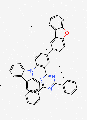 c1ccc(-c2nc(-c3ccccc3)nc(-c3cc(-c4ccc5oc6ccccc6c5c4)ccc3-n3c4ccccc4c4ccccc43)n2)cc1